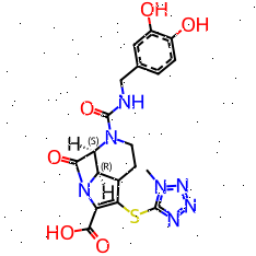 Cn1nnnc1SC1=C(C(=O)O)N2C(=O)[C@@H]3[C@H]2C1CCN3C(=O)NCc1ccc(O)c(O)c1